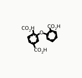 O=C(O)c1ccc(C(=O)O)c(Oc2ccccc2C(=O)O)c1